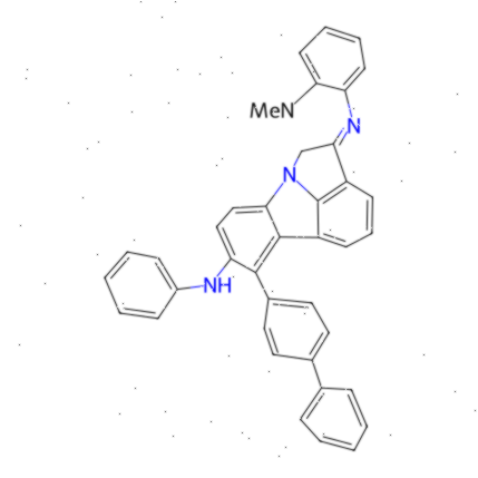 CNc1ccccc1/N=C1\Cn2c3ccc(Nc4ccccc4)c(-c4ccc(-c5ccccc5)cc4)c3c3cccc1c32